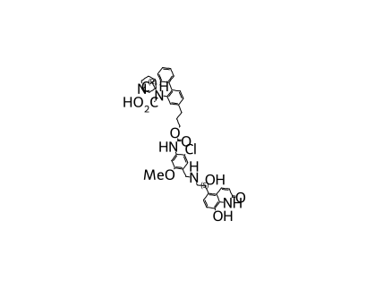 COc1cc(NC(=O)OCCCc2ccc(-c3ccccc3)c(N(C(=O)O)[C@H]3CN4CCC3CC4)c2)c(Cl)cc1CNC[C@@H](O)c1ccc(O)c2[nH]c(=O)ccc12